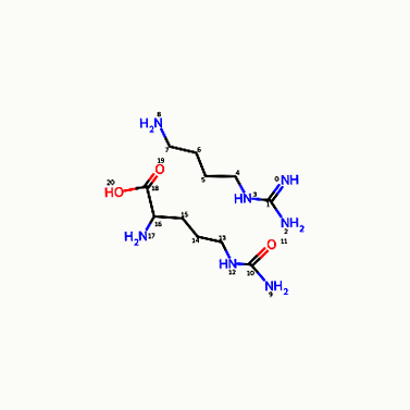 N=C(N)NCCCCN.NC(=O)NCCCC(N)C(=O)O